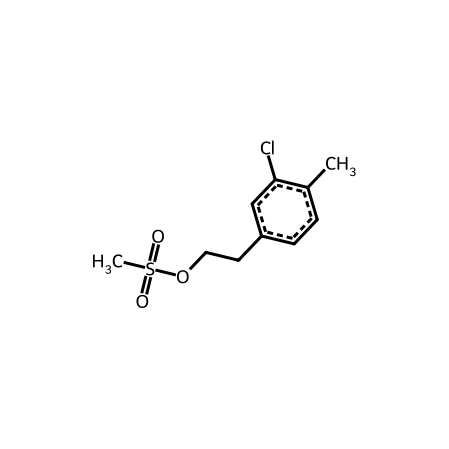 Cc1ccc(CCOS(C)(=O)=O)cc1Cl